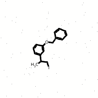 CC(CI)c1cccc(OCc2ccccc2)c1